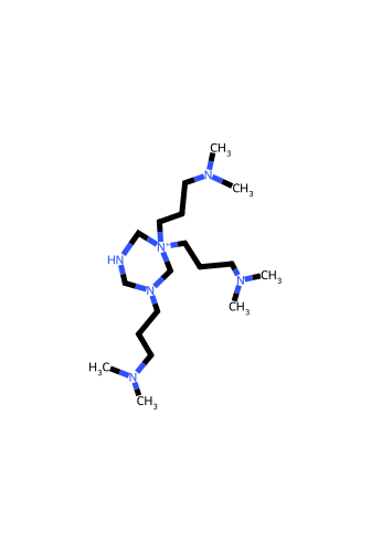 CN(C)CCCN1CNC[N+](CCCN(C)C)(CCCN(C)C)C1